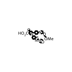 COCCO[C@H]1CCN(c2ccc(-c3cc(=O)c(C(=O)O)cn3-c3ccc4nc(N5CCOCC5)sc4c3)cc2)C1